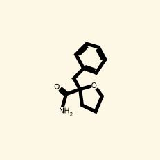 NC(=O)C1([CH]c2ccccc2)CCCO1